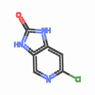 O=c1[nH]c2cnc(Cl)cc2[nH]1